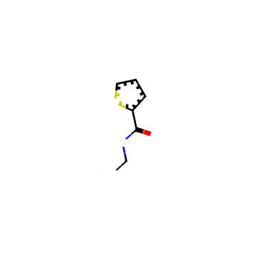 CC(=O)OCNC(=O)c1cccs1